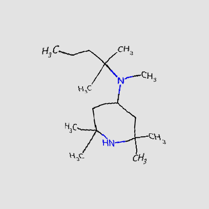 CCCC(C)(C)N(C)C1CC(C)(C)NC(C)(C)C1